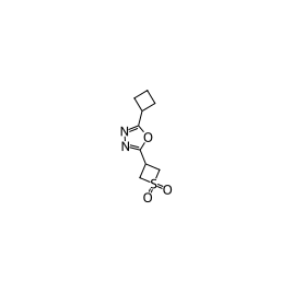 O=S1(=O)CC(c2nnc(C3CCC3)o2)C1